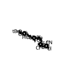 Cc1cc(OC[C@@H](O)CN2CCN(C(=O)OC(C)(C)C)CC2)ccc1-c1nnc(Cc2ccc(Cl)c(Oc3cc(Cl)cc(C#N)c3)c2F)o1